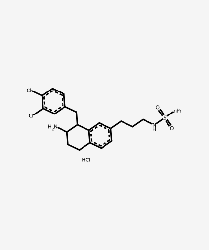 CCCS(=O)(=O)NCCCc1ccc2c(c1)C(Cc1ccc(Cl)c(Cl)c1)C(N)CC2.Cl